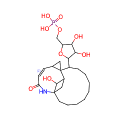 O=C1/C=C\C2CC23C(C2OC(COP(=O)(O)O)C(O)C2O)CCCCCCCCC2(CC3C2O)N1